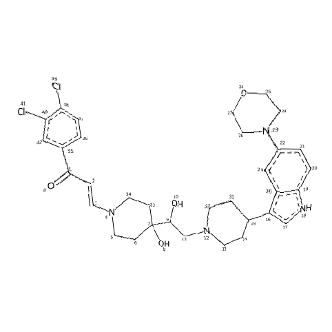 O=C(C=CN1CCC(O)(C(O)CN2CCC(c3c[nH]c4ccc(N5CCOCC5)cc34)CC2)CC1)c1ccc(Cl)c(Cl)c1